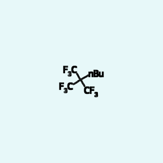 [CH2]CCCC(C(F)(F)F)(C(F)(F)F)C(F)(F)F